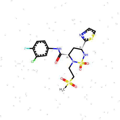 CS(=O)(=O)CCN1[C@H](C(=O)Nc2ccc(F)c(Cl)c2)C[C@H](c2nccs2)NS1(=O)=O